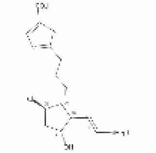 CCCCCCC/C=C/[C@@H]1[C@@H](CCCc2ccc(C(=O)O)s2)[C@H](Cl)C[C@H]1O